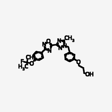 Cc1nc(-c2nc(-c3ccc(OC(C)(C)F)cc3)no2)nn1Cc1cccc(OCCCO)c1